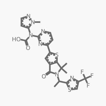 CC(c1nc(C(F)(F)F)cs1)N1C(=O)c2cc(-c3ccnc(N(C(=O)O)c4ccnn4C)n3)sc2C1(C)C